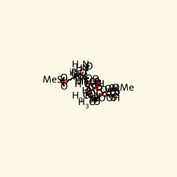 COc1cccc2c1C(=O)c1c(O)c3c(c(O)c1C2=O)C[C@@](O)(C(=O)COC(=O)N(C)CCN(C)C(=O)OCc1ccc(NC(=O)[C@H](CCCNC(N)=O)NC(=O)[C@@H](NC(=O)CCCCCN2C(=O)CC(SC)C2=O)C(C)C)cc1)C[C@@H]3O[C@@H]1C[C@@H](C)[C@H]2O[C@@H]3[C@@H](OC)OCCN3[C@H]2C1